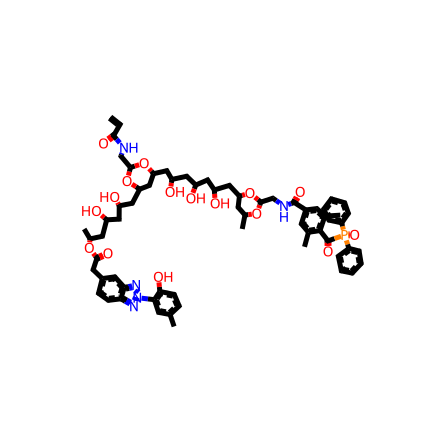 C=CC(=O)NCC1OC(CC(O)CC(O)CC(O)CC2CC(C)OC(CNC(=O)c3cc(C)c(C(=O)P(=O)(c4ccccc4)c4ccccc4)c(C)c3)O2)CC(CC(O)CC(O)CC(C)OC(=O)Cc2ccc3nn(-c4cc(C)ccc4O)nc3c2)O1